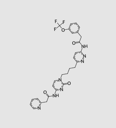 O=C(Cc1cccc(OC(F)(F)F)c1)Nc1ccc(CCCCn2ccc(NC(=O)Cc3ccccn3)nc2=O)nn1